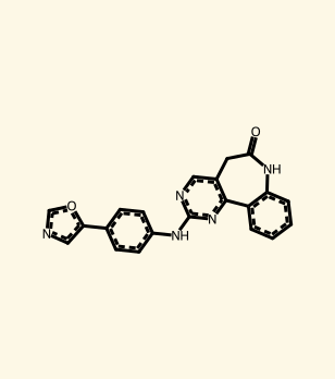 O=C1Cc2cnc(Nc3ccc(-c4cnco4)cc3)nc2-c2ccccc2N1